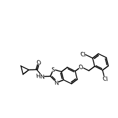 O=C(Nc1nc2ccc(OCc3c(Cl)cccc3Cl)cc2s1)C1CC1